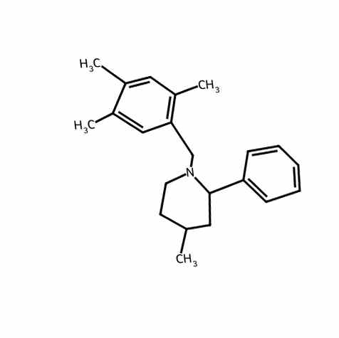 Cc1cc(C)c(CN2CCC(C)CC2c2ccccc2)cc1C